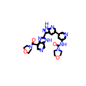 O=C(Nc1cncc(-c2cnc3[nH]nc(-c4nc5c(C(=O)N6CCOCC6)cncc5[nH]4)c3c2)c1)N1CCOCC1